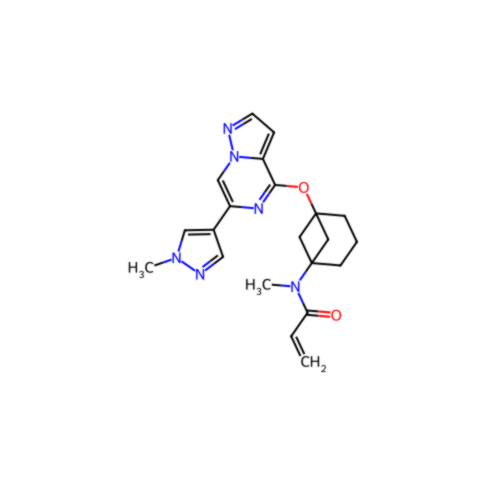 C=CC(=O)N(C)C12CCCC(Oc3nc(-c4cnn(C)c4)cn4nccc34)(C1)C2